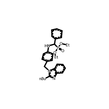 CCCCc1nc2ccccc2n1Cc1ccc(NC(c2ccccc2)P(=O)(OCC)OCC)cc1